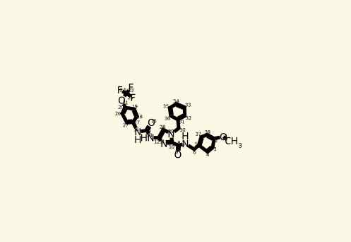 COc1ccc(CNC(=O)c2nc(NC(=O)Nc3ccc(OC(F)(F)F)cc3)cn2Cc2ccccc2)cc1